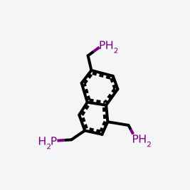 PCc1ccc2c(CP)cc(CP)cc2c1